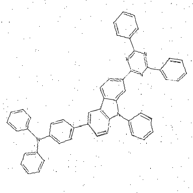 c1ccc(-c2nc(-c3ccccc3)nc(-c3ccc4c5cc(-c6ccc(N(c7ccccc7)c7ccccc7)cc6)ccc5n(-c5ccccc5)c4c3)n2)cc1